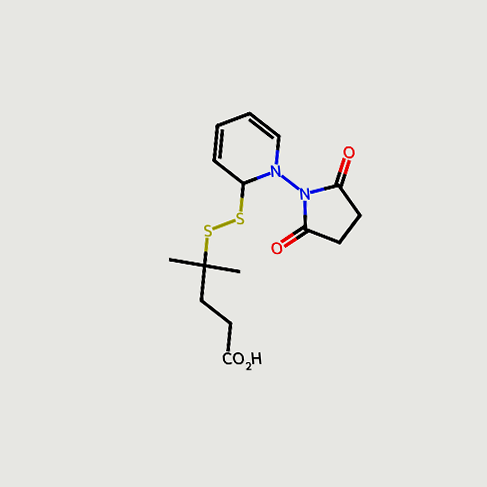 CC(C)(CCC(=O)O)SSC1C=CC=CN1N1C(=O)CCC1=O